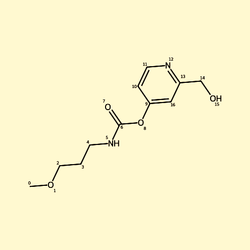 COCCCNC(=O)Oc1ccnc(CO)c1